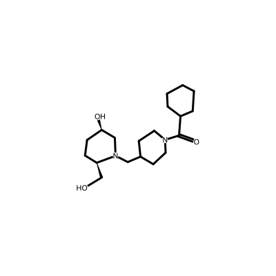 O=C(C1CCCCC1)N1CCC(CN2C[C@H](O)CC[C@@H]2CO)CC1